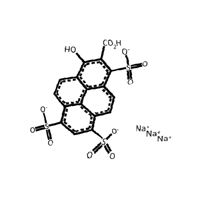 O=C(O)c1c(O)c2ccc3c(S(=O)(=O)[O-])cc(S(=O)(=O)[O-])c4ccc(c1S(=O)(=O)[O-])c2c34.[Na+].[Na+].[Na+]